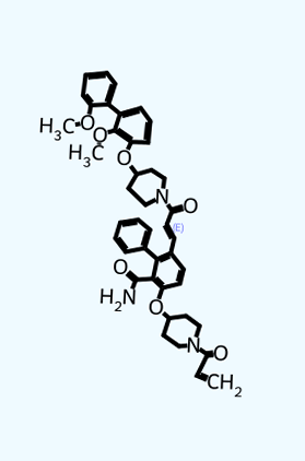 C=CC(=O)N1CCC(Oc2ccc(/C=C/C(=O)N3CCC(Oc4cccc(-c5ccccc5OC)c4OC)CC3)c(-c3ccccc3)c2C(N)=O)CC1